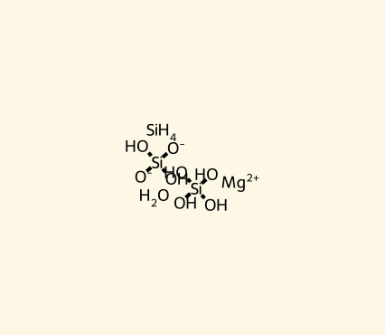 O.O[Si](O)(O)O.[Mg+2].[O-][Si]([O-])(O)O.[SiH4]